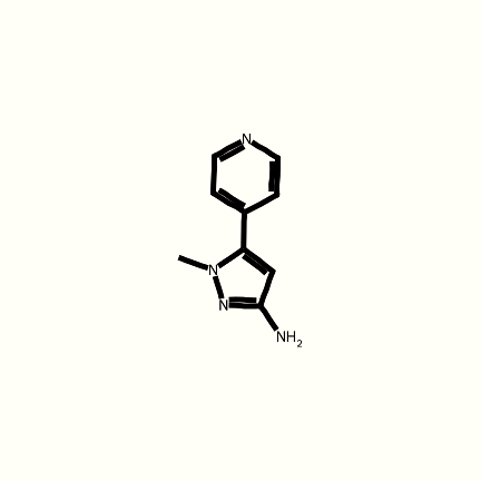 Cn1nc(N)cc1-c1ccncc1